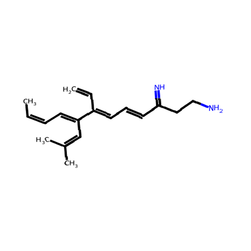 C=CC(=C\C=C\C(=N)CCN)/C(C=C(C)C)=C/C=C\C